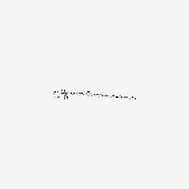 CCCCCCCCCCCCOCCOCCOCCCC(=O)OC1CCCCC1